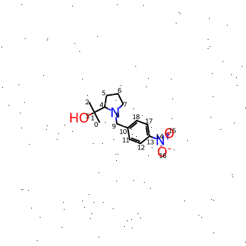 CC(C)(O)C1CCCN1Cc1ccc([N+](=O)[O-])cc1